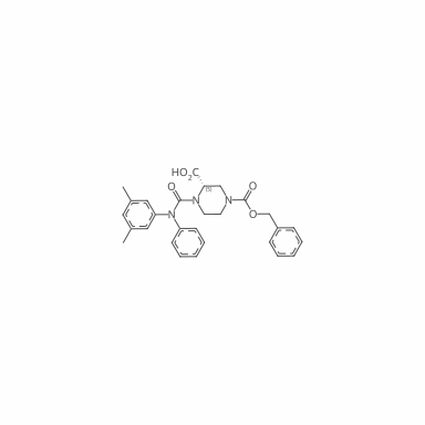 Cc1cc(C)cc(N(C(=O)N2CCN(C(=O)OCc3ccccc3)C[C@H]2C(=O)O)c2ccccc2)c1